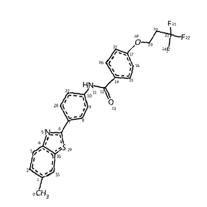 Cc1ccc2nc(-c3ccc(NC(=O)c4ccc(OCCC(F)(F)F)cc4)cc3)sc2c1